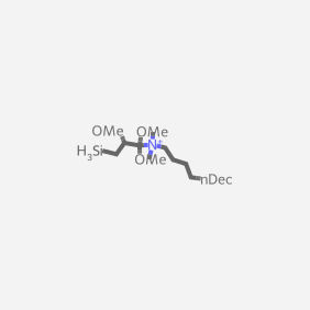 CCCCCCCCCCCCCC[N+](C)(C)C(OC)(OC)C(C[SiH3])OC